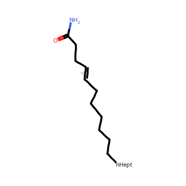 CCCCCCCCCCCCC/C=C/CCC(N)=O